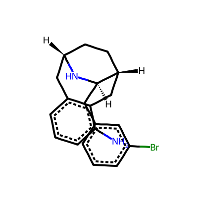 Nc1cccc2c1C[C@H]1CC[C@@H](C2)N[C@@H]1Cc1cccc(Br)c1